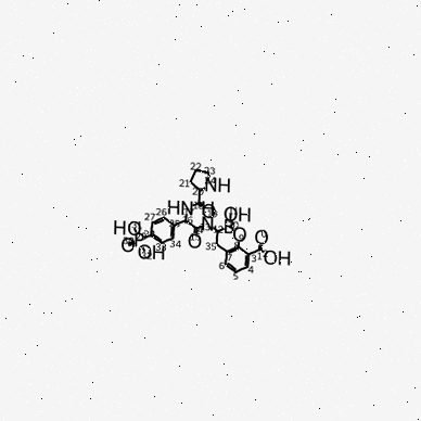 O=C(O)c1cccc2c1OB(O)C(NC(=O)C(NC(=O)C1CCCN1)c1ccc(P(=O)(O)O)cc1)C2